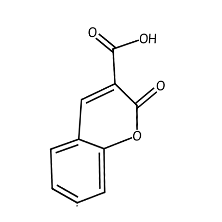 O=C(O)c1cc2cc[c]cc2oc1=O